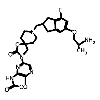 C[C@H](N)COc1cc(F)c2c(c1)CC(CN1CCC3(CC1)CN(c1cnc4c(n1)NC(=O)CO4)C(=O)O3)C2